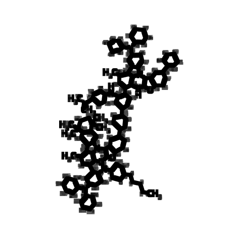 CCCCCc1ccc(N2B3c4oc5ccc(-c6ccc(-c7ccc(-c8cc(C)c9c%10cc(N(c%11ccccc%11)c%11ccccc%11)ccc%10n%10c9c8Bc8oc9ccc(-c%11ccccc%11)cc9c8-%10)c(Nc8ccc(N(C)C)cc8)c7)cc6)cc5c4-n4c5cc6c(cc5c5c(C)cc(c3c54)-c3cc(N(c4ccccc4)c4ccccc4)ccc32)C(C)(C)CCC6(C)C)cc1